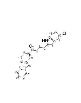 O=C(CCCc1cc2cc(Cl)ccc2[nH]1)N1CCCC(Cc2ccccc2)C1